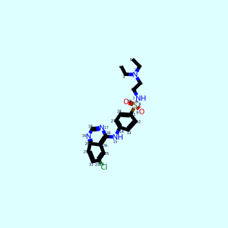 CCN(CC)CCNS(=O)(=O)c1ccc(Nc2ncnc3ccc(Cl)cc23)cc1